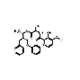 COc1ccnc(C(=O)NC(C)C(=O)O[C@@H](C)[C@@H](COc2ccccc2)Cc2ccccc2)c1O